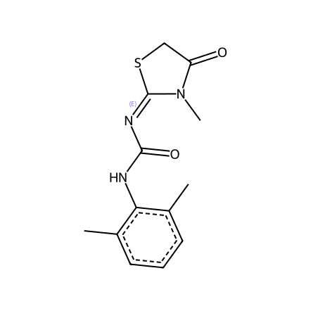 Cc1cccc(C)c1NC(=O)/N=C1/SCC(=O)N1C